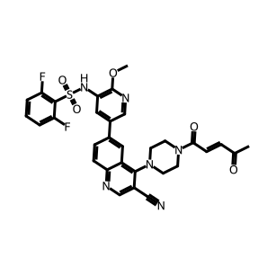 COc1ncc(-c2ccc3ncc(C#N)c(N4CCN(C(=O)C=CC(C)=O)CC4)c3c2)cc1NS(=O)(=O)c1c(F)cccc1F